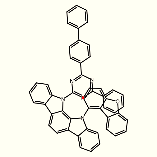 c1ccc(-c2ccc(-c3nc(-c4ccccc4)nc(-n4c5ccccc5c5ccc6c7ccccc7n(-c7cccc8oc9ccccc9c78)c6c54)n3)cc2)cc1